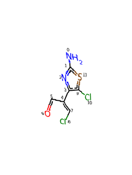 Nc1nc(C(C=O)=CCl)c(Cl)s1